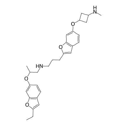 CCc1cc2ccc(OC(C)CNCCCc3cc4ccc(OC5CC(NC)C5)cc4o3)cc2o1